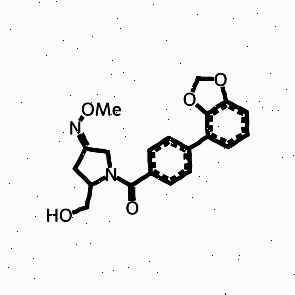 CO/N=C1/CC(CO)N(C(=O)c2ccc(-c3cccc4c3OCO4)cc2)C1